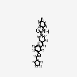 Cc1ccc(NC(=O)N2CCC(=Cc3cccc(OCC4CCCC4)c3)CC2)cn1